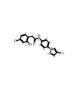 O=C(Cc1ccc(Cl)cc1Cl)Nc1ccc(-n2cc(F)cn2)cc1